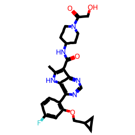 Cc1[nH]c2c(-c3ccc(F)cc3OCC3CC3)ncnc2c1C(=O)NC1CCN(C(=O)CO)CC1